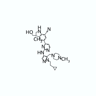 CN1CCN(Cc2c(Nc3nccc(-c4cc(C#N)c5c(c4)[C@@](C)(CO)CN5)n3)cnn2CCC2CC2)CC1